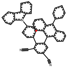 N#Cc1cc(C#N)c(-c2ccc(-n3c4ccccc4c4ccccc43)cc2)c(-c2c3ccccc3c(-c3ccccc3)c3ccccc23)c1